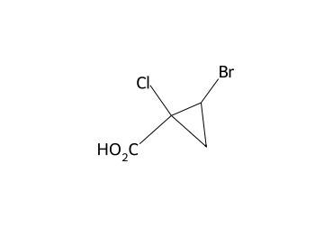 O=C(O)C1(Cl)CC1Br